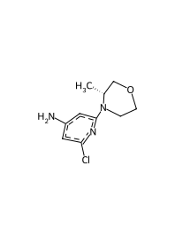 C[C@@H]1COCCN1c1cc(N)cc(Cl)n1